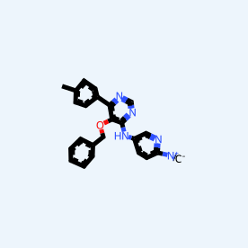 [C-]#[N+]c1ccc(Nc2ncnc(-c3ccc(C)cc3)c2OCc2ccccc2)cn1